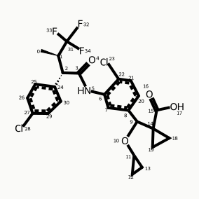 C[C@H]([C@H](C(=O)Nc1cc(C(OC2CC2)C2(C(=O)O)CC2)ccc1Cl)c1ccc(Cl)cc1)C(F)(F)F